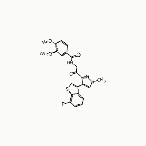 COc1ccc(C(=O)NCC(=O)c2nn(C)cc2-c2csc3c(F)cccc23)cc1OC